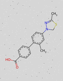 CC1=NN(c2ccc(-c3ccc(C(=O)O)cc3)c(C)c2)CS1